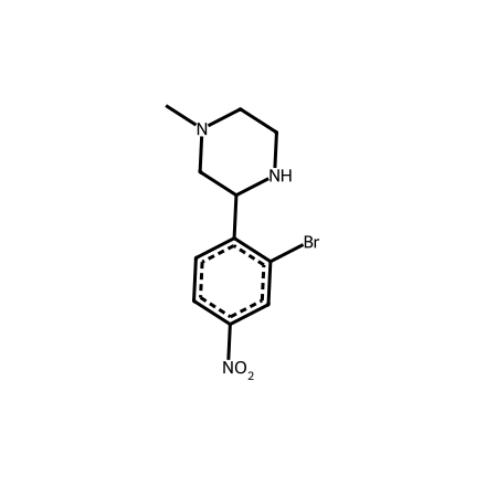 CN1CCNC(c2ccc([N+](=O)[O-])cc2Br)C1